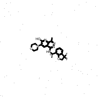 Cc1nnc(N[C@H](C)c2cccc3c2OCC3(F)F)c2cc(N3CCOCC3)c(O)nc12